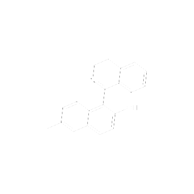 Cc1ccc2c(C3=NCCc4ccccc43)c(O)ccc2c1